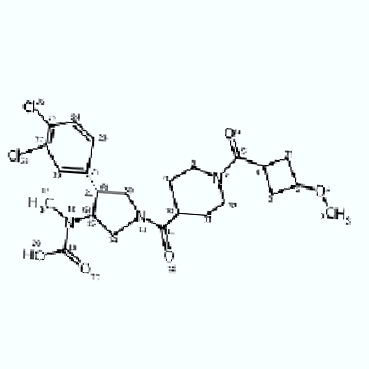 COC1CC(C(=O)N2CCC(C(=O)N3C[C@@H](N(C)C(=O)O)[C@H](c4ccc(Cl)c(Cl)c4)C3)CC2)C1